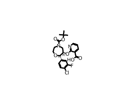 CC(C)(C)OC(=O)N1CCO[C@@H](c2ccc(Cl)c(F)c2)[C@H](Oc2ncccc2C(=O)O)C1